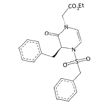 CCOC(=O)CN1C=CN(S(=O)(=O)Cc2ccccc2)[C@@H](Cc2ccccc2)C1=O